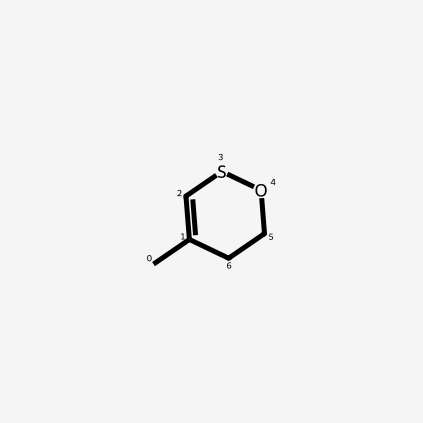 CC1=CSOCC1